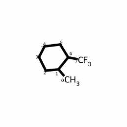 CC1CC[CH]CC1C(F)(F)F